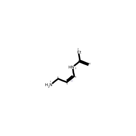 C=C(CC)N/C=C\CN